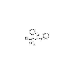 CCC(C)=CCC(Oc1ccccc1)Oc1ccccc1